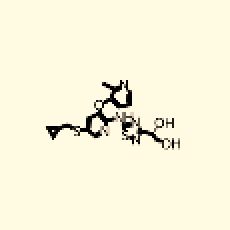 Cc1ncccc1Oc1cc(SCC2CC2)cnc1Nc1nc([C@H](O)CO)ns1